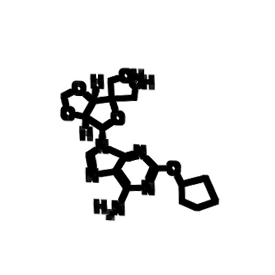 Nc1nc(OC2CCCC2)nc2c1ncn2[C@@H]1OC(CO)(CO)[C@H]2OCO[C@@H]12